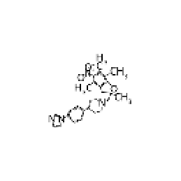 Cc1c(C)c([N+](=O)[O-])c(C)c2c1OC(C)(CN1CC=C(c3ccc(-n4ccnc4)cc3)CC1)C2